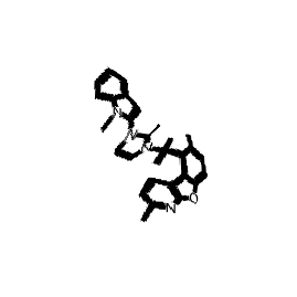 Cc1ccc2c(n1)oc1ccc(C)c(C(C)(C)N3C=CN(c4cc5ccccc5n4C)[C@H]3C)c12